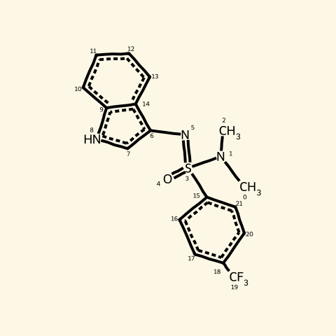 CN(C)S(=O)(=Nc1c[nH]c2ccccc12)c1ccc(C(F)(F)F)cc1